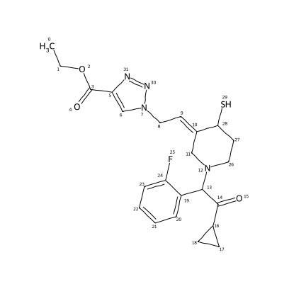 CCOC(=O)c1cn(C/C=C2\CN(C(C(=O)C3CC3)c3ccccc3F)CCC2S)nn1